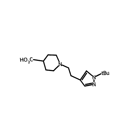 CC(C)(C)n1cc(CCN2CCC(C(=O)O)CC2)cn1